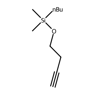 C#CCCO[Si](C)(C)CCCC